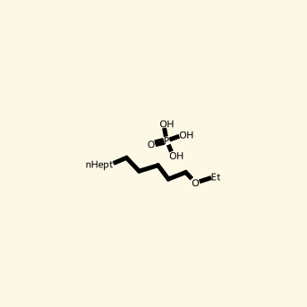 O=P(O)(O)O.[CH2]COCCCCCCCCCCCC